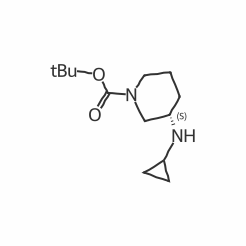 CC(C)(C)OC(=O)N1CCC[C@H](NC2CC2)C1